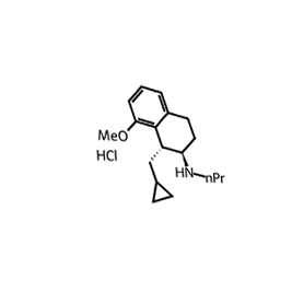 CCCN[C@@H]1CCc2cccc(OC)c2[C@H]1CC1CC1.Cl